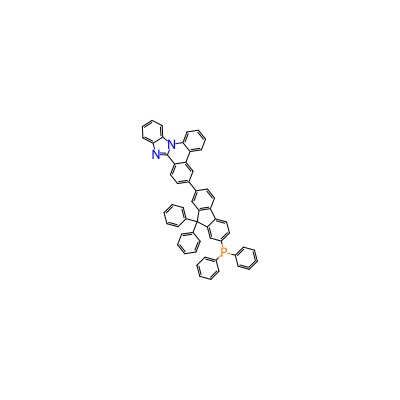 C1=C=CC(P(c2ccccc2)c2ccc3c(c2)C(c2ccccc2)(c2ccccc2)c2cc(-c4ccc5c(c4)c4ccccc4n4c6ccccc6nc54)ccc2-3)=CC=1